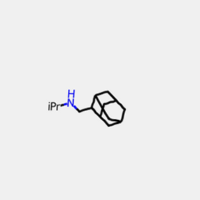 CC(C)NCC1C2CC3CC(C2)CC1C3